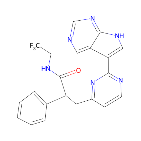 O=C(NCC(F)(F)F)C(Cc1ccnc(-c2c[nH]c3ncncc23)n1)c1ccccc1